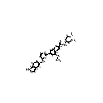 COc1cc(-c2nccc(Nc3ccc4[nH]ncc4c3)n2)cc2sc(C(=O)NC(/C=C\N)=C/N)cc12